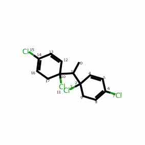 CC(C1(Cl)C=CC(Cl)=CC1)C1(Cl)C=CC(Cl)=CC1